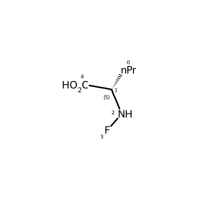 CCC[C@H](NF)C(=O)O